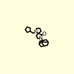 O=C1N(C23CC4CC(CC(C4)C2)C3)CCC12CCCN2CC1CCCC1